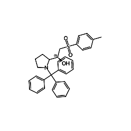 Cc1ccc(S(=O)(=O)C[C@@H](O)C2CCCN2C(c2ccccc2)(c2ccccc2)c2ccccc2)cc1